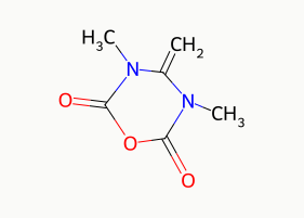 C=C1N(C)C(=O)OC(=O)N1C